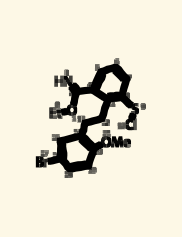 CCOC(=N)c1cccc(SCl)c1CCc1cc(Br)ccc1OC